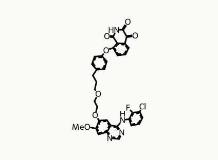 COc1cc2ncnc(Nc3cccc(Cl)c3F)c2cc1OCCOCCCc1ccc(Oc2cccc3c2C(=O)NC(=O)C3=O)cc1